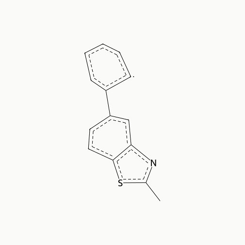 Cc1nc2cc(-c3[c]cccc3)ccc2s1